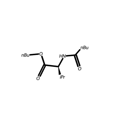 CCCCOC(=O)[C@@H](NC(=O)CCCC)C(C)C